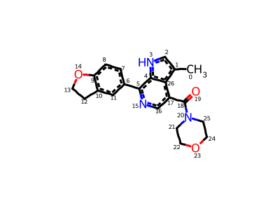 Cc1c[nH]c2c(-c3ccc4c(c3)CCO4)ncc(C(=O)N3CCOCC3)c12